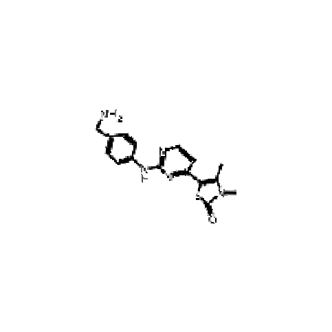 Cc1c(-c2ccnc(Nc3ccc(CN)cc3)n2)sc(=O)n1C